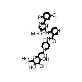 COc1cnc(-c2cc(Cl)ccc2F)nc1Nc1ccncc1C(=O)NC1CCN(C(=O)CC2OC(CO)C(O)C(O)C2O)CC1